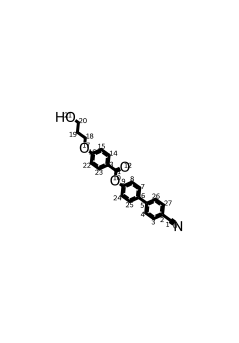 N#Cc1ccc(-c2ccc(OC(=O)c3ccc(OCCCO)cc3)cc2)cc1